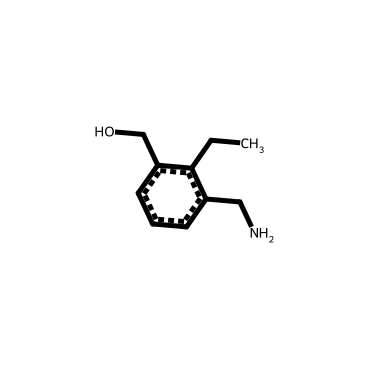 CCc1c(CN)cccc1CO